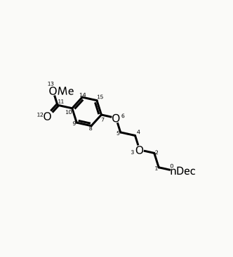 CCCCCCCCCCCCOCCOc1ccc(C(=O)OC)cc1